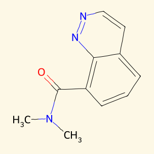 CN(C)C(=O)c1cccc2ccnnc12